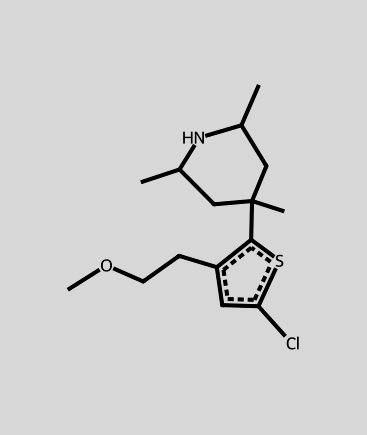 COCCc1cc(Cl)sc1C1(C)CC(C)NC(C)C1